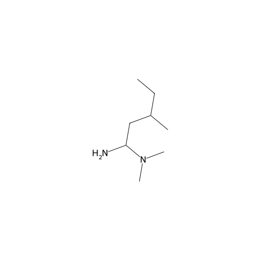 CCC(C)CC(N)N(C)C